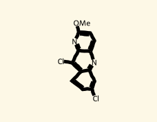 COc1ccc2nc3cc(Cl)ccc3c(Cl)c2n1